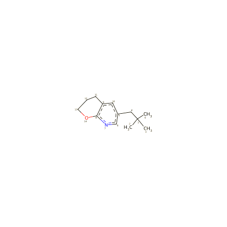 CC(C)(C)Cc1cnc2c(c1)CCCO2